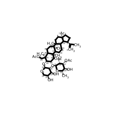 C=C(C)[C@@H]1CC[C@]2(C(C)=O)CC[C@]3(C)C(CCC4[C@@]5(C)CC[C@H](O[C@@H]6OC[C@H](O)[C@H](O)[C@H]6O[C@@H]6O[C@@H](C)[C@H](O)[C@@H](OC(C)=O)[C@H]6OC(C)=O)[C@@](C)(COC(C)=O)C5CC[C@]43C)C12